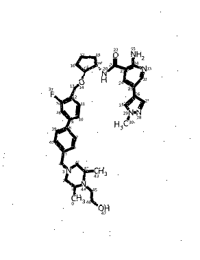 CC1CN(Cc2ccc(-c3ccc(CO[C@H]4CCC[C@@H]4NC(=O)c4cc(-c5cnn(C)c5)cnc4N)c(F)c3)cc2)CC(C)N1CCO